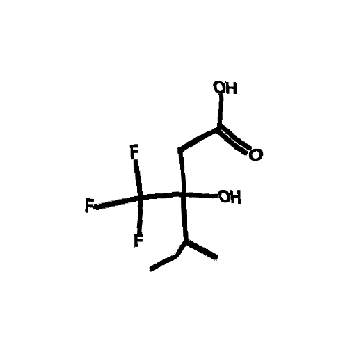 CC(C)C(O)(CC(=O)O)C(F)(F)F